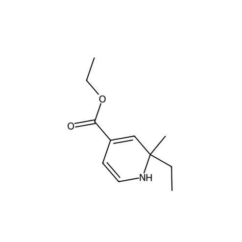 CCOC(=O)C1=CC(C)(CC)NC=C1